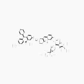 CCc1[nH]c2nc(Sc3ccc4cc5c([n+]([O-])c4c3)CCN(C(=S)Nc3ccc(-c4c6ccc(=O)cc-6oc6cc(O)ccc46)c(C(=O)O)c3)C5)nc(N3CC4C(C3)C4(N)C(N)=O)c2c1Cl